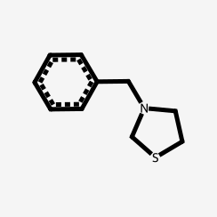 c1ccc(CN2CCSC2)cc1